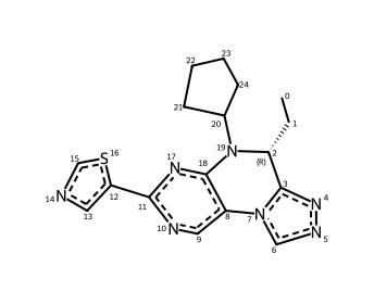 CC[C@@H]1c2nncn2-c2cnc(-c3cncs3)nc2N1C1CCCC1